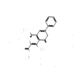 CCCCOC(=O)c1nc(O)c2c(c1O)C(=S)CC(c1ccccc1)=C2